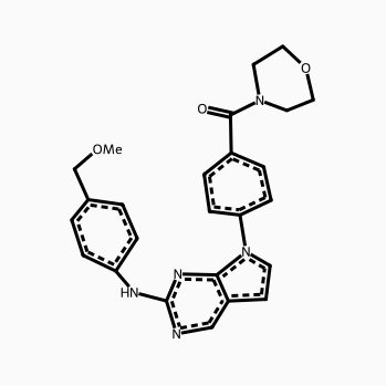 COCc1ccc(Nc2ncc3ccn(-c4ccc(C(=O)N5CCOCC5)cc4)c3n2)cc1